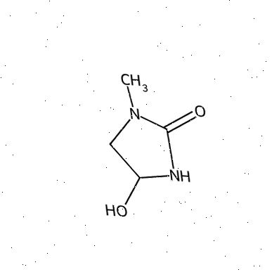 CN1CC(O)NC1=O